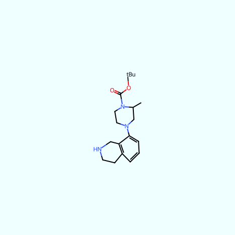 CC1CN(c2cccc3c2CNCC3)CCN1C(=O)OC(C)(C)C